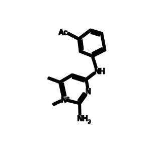 CC(=O)c1cccc(Nc2cc(C)[n+](C)c(N)n2)c1